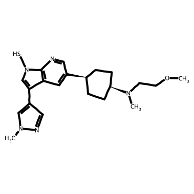 COCCN(C)[C@H]1CC[C@@H](c2cnc3c(c2)c(-c2cnn(C)c2)cn3S)CC1